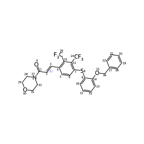 O=C(/C=C/c1ccc(Sc2ccccc2OCc2ccccc2)c(C(F)(F)F)c1C(F)(F)F)N1CCOCC1